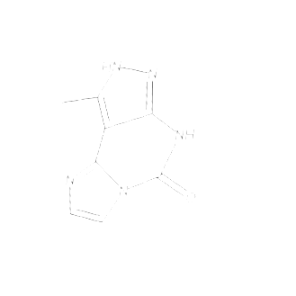 Cc1[nH]nc2[nH]c(=O)n3ccnc3c12